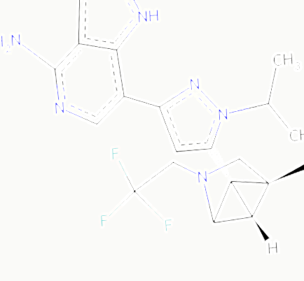 CC(C)n1nc(-c2cnc(N)c3cn[nH]c23)cc1[C@@]12C3[C@H]1[C@H]2CN3CC(F)(F)F